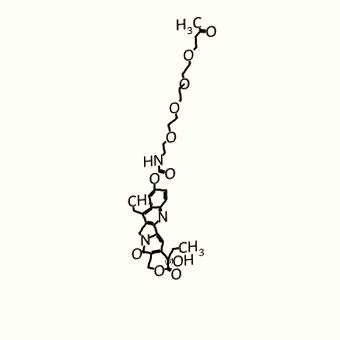 CCc1c2c(nc3ccc(OC(=O)NCCOCCOCCOCCOCCC(C)=O)cc13)-c1cc3c(c(=O)n1C2)COC(=O)[C@]3(O)CC